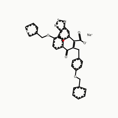 O=C([O-])/C(=C(\Cc1ccc(OCc2ccccc2)cc1)C(=O)c1ccc(OCc2ccccc2)cc1)c1ccc2nsnc2c1.[Na+]